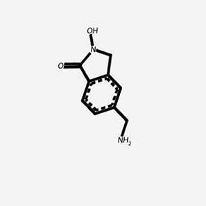 NCc1ccc2c(c1)CN(O)C2=O